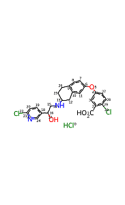 Cl.O=C(O)c1cc(Oc2ccc3c(c2)C[C@@H](NC[C@@H](O)c2ccc(Cl)nc2)CC3)ccc1Cl